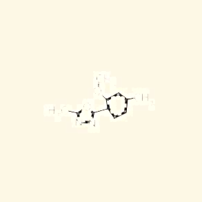 COc1cc(C)ccc1-c1nnc(C)o1